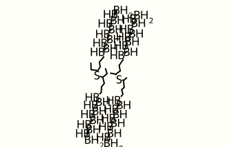 BBBBBBBBBBCCCC(C)SC(C)CCCBBBBBBBBBB.BBBBBBBBBBCCCC(CC)SC(CC)CCCBBBBBBBBBB